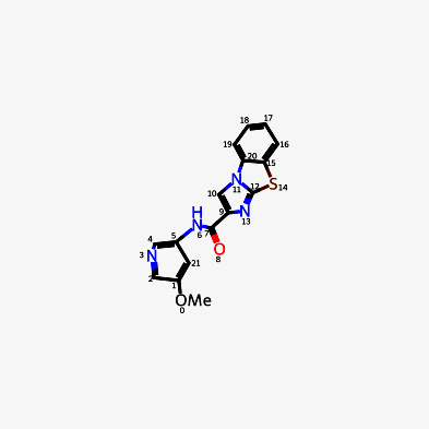 COc1cncc(NC(=O)c2cn3c(n2)sc2ccccc23)c1